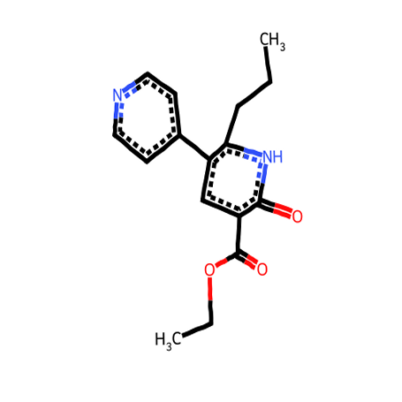 CCCc1[nH]c(=O)c(C(=O)OCC)cc1-c1ccncc1